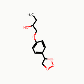 CCC(O)COc1ccc(C2BOOC2)cc1